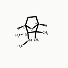 CN[C@@]1(C)[C@@H]2CC[C@@H](O2)C1(C)C